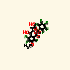 COc1c(F)c(F)c(C(O)CCCO)c(C(=O)OS(=O)(=O)c2c(F)c(F)c(F)c(F)c2F)c1F